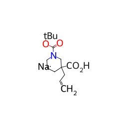 C=CCC1(C(=O)O)CCCN(C(=O)OC(C)(C)C)C1.[Na]